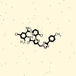 Cc1ccc(-c2nnn(Cc3cc(C(=O)Nc4c(C)cc(Cl)cc4C(N)=O)n(-c4ncccc4Cl)n3)n2)cc1